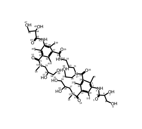 Cc1c(NC(=O)C(O)CO)c(I)c(C(=O)N(C)CC(O)CO)c(I)c1C(=O)N(CCO)CCCNC(=O)c1c(I)c(NC(=O)C(O)CO)c(I)c(C(=O)N(C)CC(O)CO)c1I